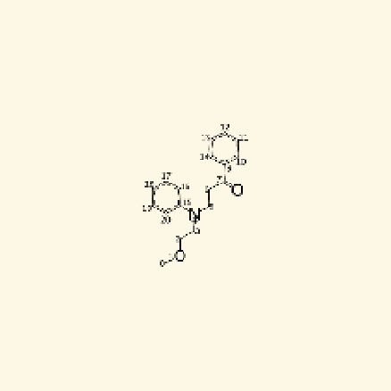 COCCN(CCC(=O)c1ccccc1)c1ccccc1